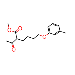 COC(=O)C(CCCCOc1cccc(C)c1)C(C)=O